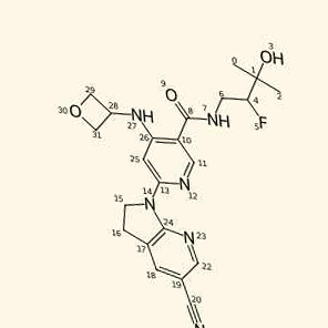 CC(C)(O)C(F)CNC(=O)c1cnc(N2CCc3cc(C#N)cnc32)cc1NC1COC1